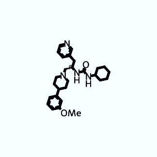 COc1cccc(C2CCN(C[C@@H](Cc3cccnc3)NC(=O)NC3CCCCC3)CC2)c1